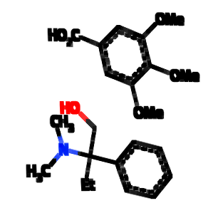 CCC(CO)(c1ccccc1)N(C)C.COc1cc(C(=O)O)cc(OC)c1OC